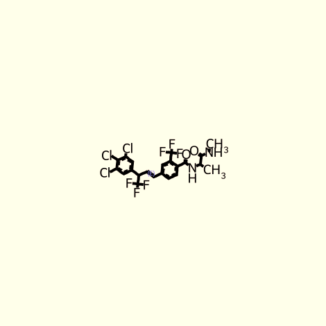 CNC(=O)C(C)NC(=O)c1ccc(/C=C/C(c2cc(Cl)c(Cl)c(Cl)c2)C(F)(F)F)cc1C(F)(F)F